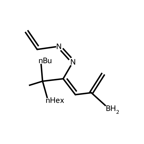 BC(=C)/C=C(\N=N/C=C)C(C)(CCCC)CCCCCC